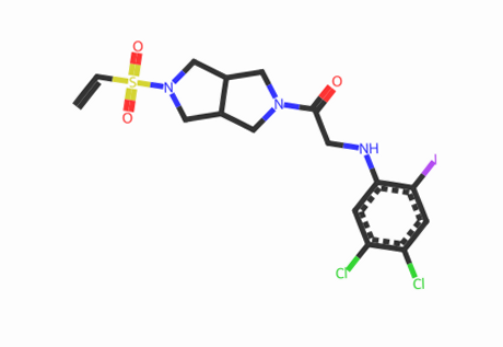 C=CS(=O)(=O)N1CC2CN(C(=O)CNc3cc(Cl)c(Cl)cc3I)CC2C1